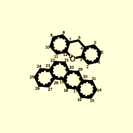 c1ccc2c(c1)Cc1ccccc1O2.c1ccc2cc3c(ccc4ccccc43)cc2c1